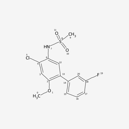 COc1cc(Cl)c(NS(C)(=O)=O)cc1-c1cccc(F)c1